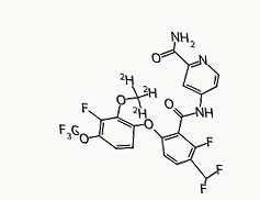 [2H]C([2H])([2H])Oc1c(Oc2ccc(C(F)F)c(F)c2C(=O)Nc2ccnc(C(N)=O)c2)ccc(OC(F)(F)F)c1F